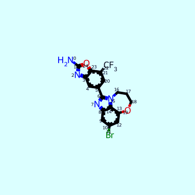 Nc1nc2cc(-c3nc4cc(Br)cc5c4n3CCCO5)cc(C(F)(F)F)c2o1